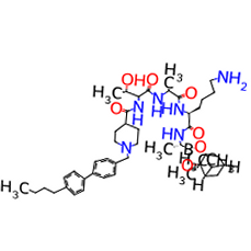 CCCCc1ccc(-c2ccc(CN3CCC(C(=O)N[C@H](C(=O)N[C@@H](C)C(=O)N[C@@H](CCCCN)C(=O)N[C@@H](C)B4OC5C[C@@H]6C[C@@H](C6(C)C)[C@]5(C)O4)[C@@H](C)O)CC3)cc2)cc1